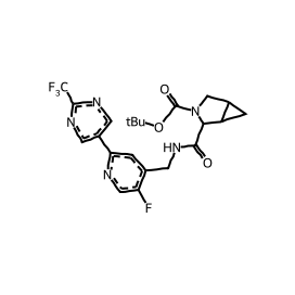 CC(C)(C)OC(=O)N1CC2CC2C1C(=O)NCc1cc(-c2cnc(C(F)(F)F)nc2)ncc1F